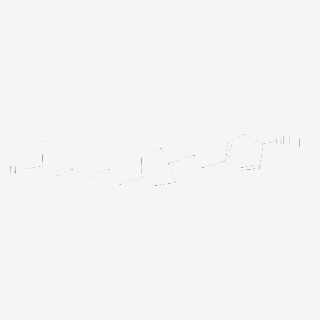 CCCCCCCc1ccc(CCC2CCC(CCC=CC=C(F)C#N)CC2)cc1